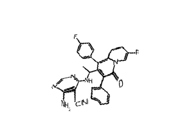 CC(Nc1ncnc(N)c1C#N)c1c(-c2ccccc2)c(=O)n2cc(F)ccc2c1-c1ccc(F)cc1